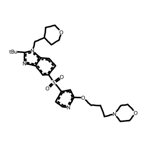 CC(C)(C)c1nc2cc(S(=O)(=O)c3ccnc(OCCCN4CCOCC4)c3)ccc2n1CC1CCOCC1